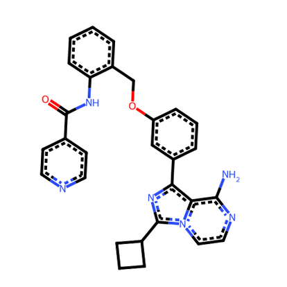 Nc1nccn2c(C3CCC3)nc(-c3cccc(OCc4ccccc4NC(=O)c4ccncc4)c3)c12